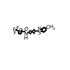 Cc1ccc2sc(C3CC4(CC(NC(=O)c5ccc(C(F)(F)F)o5)C4)C3)nc2c1